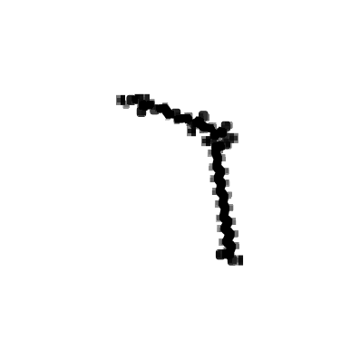 CNC(=O)COCCOCCNC(=O)CC[C@H](NC(=O)CCCCCCCCCCCCCCCCC(=O)O)C(=O)O